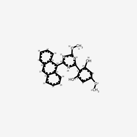 COc1cc(O)c(-c2nc(OC)nc(-c3c4ccccc4cc4ccccc34)n2)c(O)c1